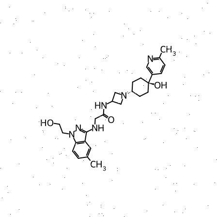 Cc1ccc2c(c1)c(NCC(=O)NC1CN([C@H]3CC[C@@](O)(c4ccc(C)nc4)CC3)C1)nn2CCO